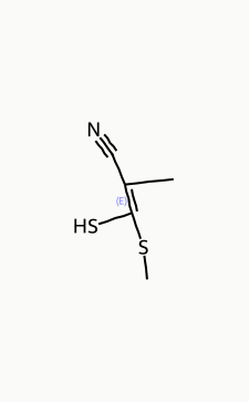 CS/C(S)=C(\C)C#N